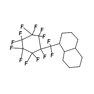 FC(F)(C1CCCC2CCCCC21)C1(F)C(F)(F)C(F)(F)C(F)(F)C(F)(F)C1(F)F